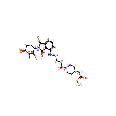 CC(C)(C)OC(=O)NC1CCN(C(=O)CCCNc2cccc3c2C(=O)N(C2CCC(=O)NC2=O)C3=O)CC1